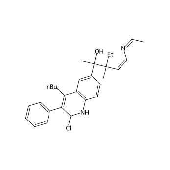 C/C=N\C=C/C(C)(CC)C(C)(O)c1ccc2c(c1)C(CCCC)=C(c1ccccc1)C(Cl)N2